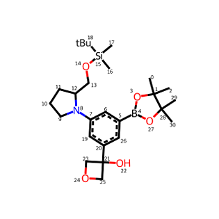 CC1(C)OB(c2cc(N3CCCC3CO[Si](C)(C)C(C)(C)C)cc(C3(O)COC3)c2)OC1(C)C